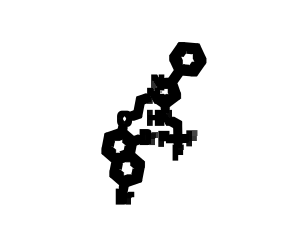 FC(F)(F)CNc1cc(-c2ccccc2)nn1CCOc1ccc2cc(Br)ccc2c1Br